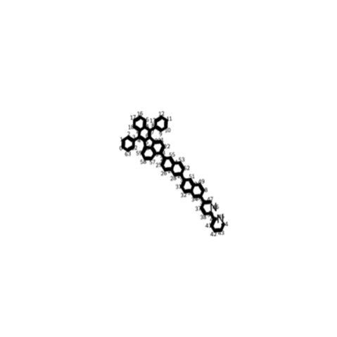 c1ccc(-c2c3c(c(-c4ccccc4)c4ccccc24)-c2ccc(-c4ccc5cc(-c6ccc7cc(-c8ccc(-c9ccccn9)nc8)ccc7c6)ccc5c4)c4cccc-3c24)cc1